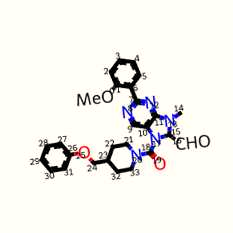 COc1ccccc1-c1ncc2c(n1)N(C)C(C=O)N2C(=O)N1CCC(COc2ccccc2)CC1